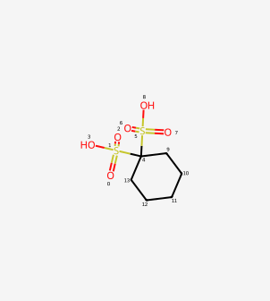 O=S(=O)(O)C1(S(=O)(=O)O)CCCCC1